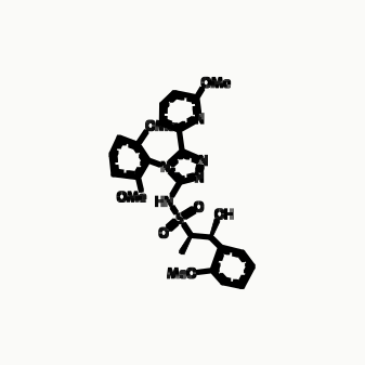 COc1cccc(-c2nnc(NS(=O)(=O)[C@H](C)[C@@H](O)c3ccccc3OC)n2-c2c(OC)cccc2OC)n1